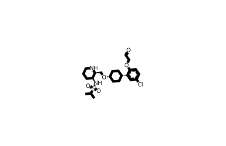 CC(C)S(=O)(=O)N[C@H]1CCCN[C@H]1CO[C@H]1CC[C@@H](c2cc(Cl)ccc2OCC=O)CC1